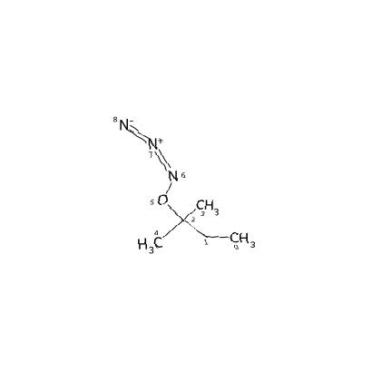 CCC(C)(C)ON=[N+]=[N-]